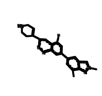 Cc1cc(-c2cc(F)c3cc(C4=CCNCC4)nnc3c2)cc2cn(C)nc12